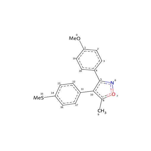 COc1ccc(-c2noc(C)c2-c2ccc(SC)cc2)cc1